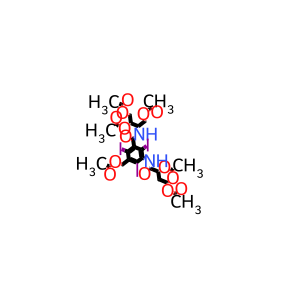 CC(=O)OCCC(OC(C)=O)C(=O)Nc1c(I)c(COC(C)=O)c(I)c(C(=O)NC(COC(C)=O)C(COC(C)=O)OC(C)=O)c1I